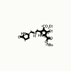 CCOC(=O)c1c(CNC[C@H]2CCC(=O)N2)[nH]c(C(=O)OC(C)(C)C)c1CC